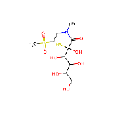 CCCN(CCS(C)(=O)=O)C(=O)C(O)(S)C(O)C(O)C(O)CO